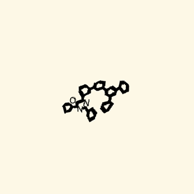 c1ccc(-c2cc(-c3ccccc3)cc(-c3cccc(-c4cccc(-c5nc(-c6ccccc6)nc6c5oc5ccccc56)c4)c3)c2)cc1